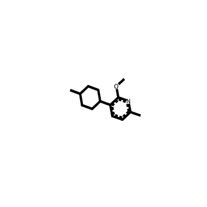 COc1nc(C)ccc1C1CCC(C)CC1